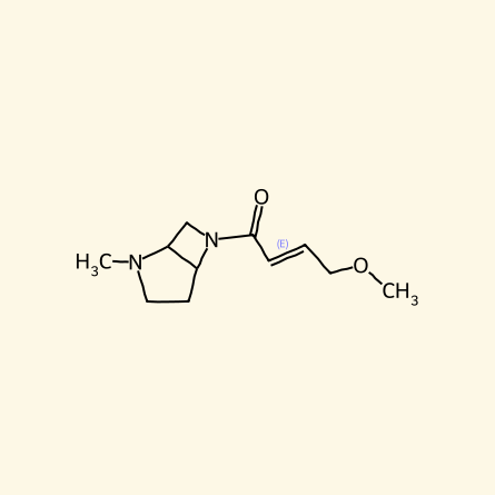 COC/C=C/C(=O)N1CC2C1CCN2C